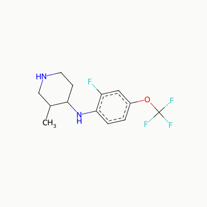 CC1CNCCC1Nc1ccc(OC(F)(F)F)cc1F